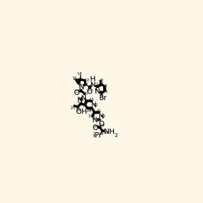 Cc1ccc(Br)nc1NC(=O)[C@@H]1C[C@@]2(C)CC2N1C(=O)Cn1nc(C(C)O)c2cc(-c3cnc(OC(=O)[C@@H](N)C(C)C)nc3)ncc21